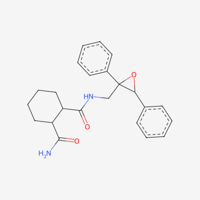 NC(=O)C1CCCCC1C(=O)NCC1(c2ccccc2)OC1c1ccccc1